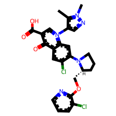 Cc1c(-n2cc(C(=O)O)c(=O)c3cc(Cl)c(N4CCC[C@@H]4COc4ncccc4Cl)cc32)cnn1C